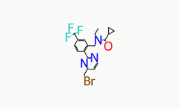 CCN(Cc1cc(C(F)(F)F)ccc1-c1nccc(CBr)n1)C(=O)C1CC1